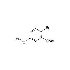 CCOc1ccc(Br)c(OC)c1